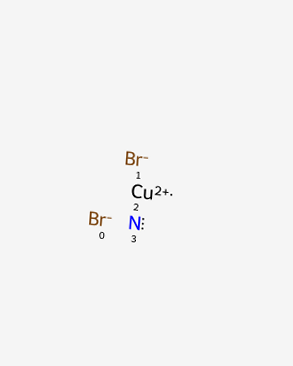 [Br-].[Br-].[Cu+2].[N]